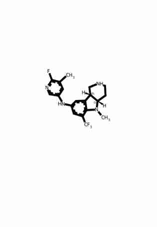 Cc1cc(Nc2cc3c(c(C(F)(F)F)c2)N(C)[C@H]2CCNC[C@@H]32)cnc1F